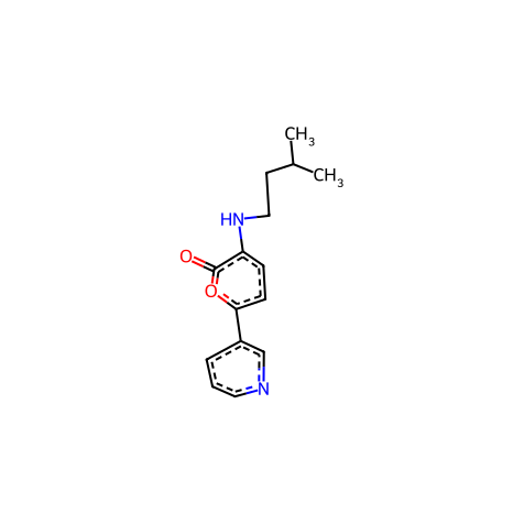 CC(C)CCNc1ccc(-c2cccnc2)oc1=O